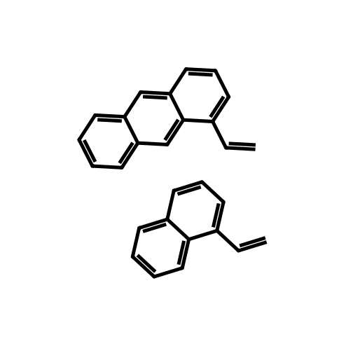 C=Cc1cccc2cc3ccccc3cc12.C=Cc1cccc2ccccc12